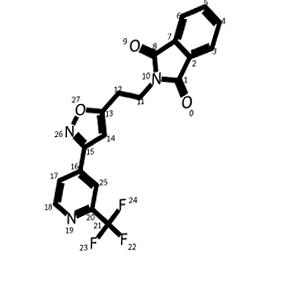 O=C1c2ccccc2C(=O)N1CCc1cc(-c2ccnc(C(F)(F)F)c2)no1